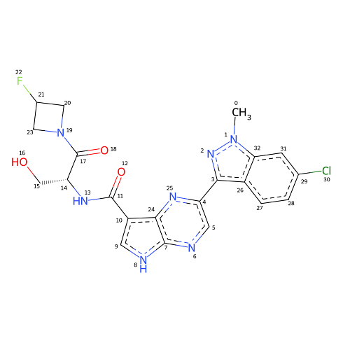 Cn1nc(-c2cnc3[nH]cc(C(=O)N[C@H](CO)C(=O)N4CC(F)C4)c3n2)c2ccc(Cl)cc21